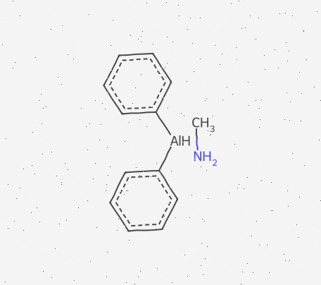 CN.c1cc[c]([AlH][c]2ccccc2)cc1